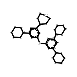 c1c(Sc2cc(C3CCCCC3)cc(C3CCCCC3)c2)cc(C2CCCCC2)cc1C1CCCCC1